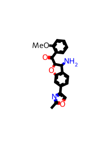 COc1ccccc1C(=O)C1Oc2cc(-c3coc(C)n3)ccc2C1N